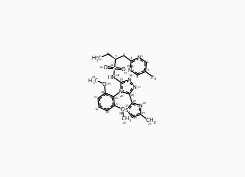 CC[C@@H](Cc1ncc(F)cn1)S(=O)(=O)Nc1nnc(-c2nc(C)cs2)n1-c1c(OC)cccc1OC